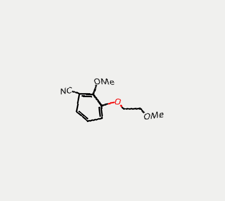 COCCOc1cccc(C#N)c1OC